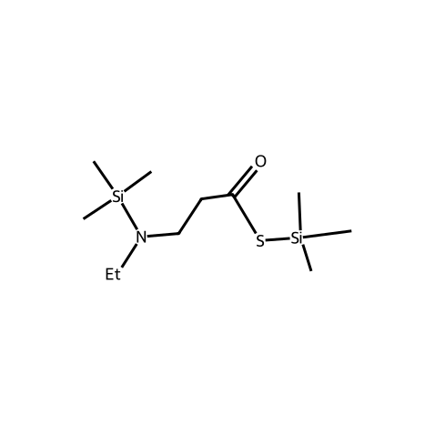 CCN(CCC(=O)S[Si](C)(C)C)[Si](C)(C)C